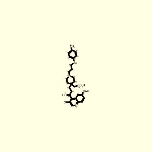 COc1ccc2ncc(Cl)c(C(O)CCC3(CC(=O)O)CCN(CCCSc4ccc(C)cc4)CC3)c2c1